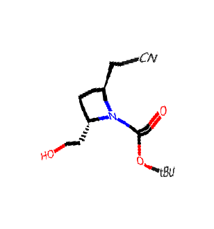 CC(C)(C)OC(=O)N1[C@H](CO)C[C@H]1CC#N